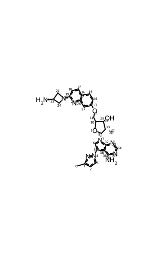 Cc1ccn(-c2cn([C@@H]3OC(COc4ccc5ccc(N6CC(N)C6)nc5c4)[C@@H](O)[C@@H]3F)c3ncnc(N)c23)n1